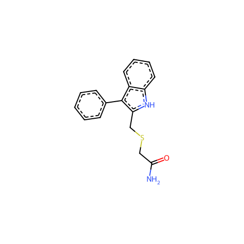 NC(=O)CSCc1[nH]c2ccccc2c1-c1ccccc1